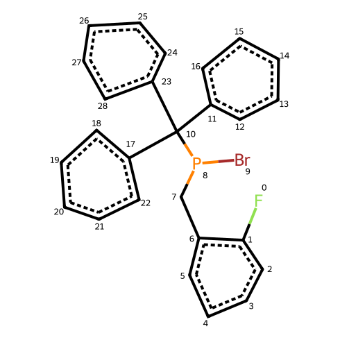 Fc1ccccc1CP(Br)C(c1ccccc1)(c1ccccc1)c1ccccc1